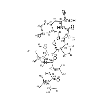 CC[C@H](C)[C@@H]([C@@H](CC(=O)N1CCC[C@H]1[C@H](OC)[C@@H](C)C(=O)N[C@@H](Cc1ccc(O)cc1)C(=O)O)OC)N(C)C(=O)[C@@H](NC(=O)[C@H](C(C)C)N(C)I)C(C)C